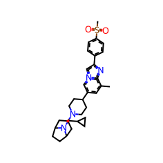 Cc1cc(C2CCN(C3CC4CCC(C3)N4CC3CC3)CC2)cn2cc(-c3ccc(S(C)(=O)=O)cc3)nc12